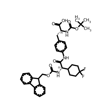 CC(C)(C)OC(=O)N[C@H](Cc1ccc(NC(=O)[C@@H](NC(=O)OCC2c3ccccc3-c3ccccc32)C2CCC(F)(F)CC2)cc1)C(=O)O